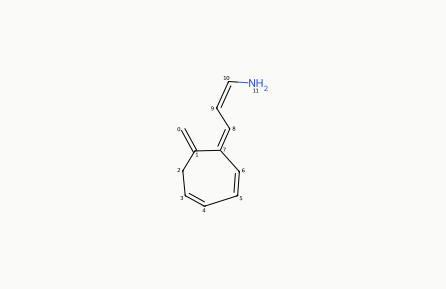 C=C1CC=CC=C/C1=C/C=C\N